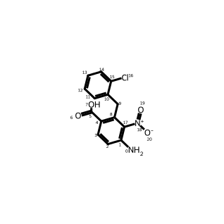 Nc1ccc(C(=O)O)c(Cc2ccccc2Cl)c1[N+](=O)[O-]